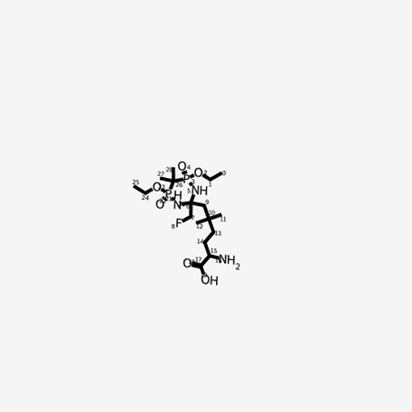 CCOP1(=O)NC(CF)(CC(C)(C)CCC(N)C(=O)O)NP(=O)(OCC)C1(C)C